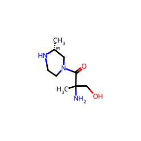 C[C@@H]1CN(C(=O)C(C)(N)CO)CCN1